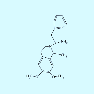 COc1cc2c(cc1OC)C(C)N(C(N)Cc1ccccc1)CC2